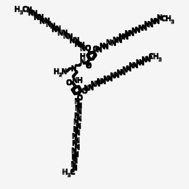 CN=NN=NN=NN=NN=NN=NN=NN=NN=NN=NOc1ccc(C(=O)NCCN(CCN)CCNC(=O)c2ccc(ON=NN=NN=NN=NN=NN=NN=NN=NN=NN=NC)c(ON=NN=NN=NN=NN=NN=NN=NN=NN=NN=NC)c2)cc1ON=NN=NN=NN=NN=NN=NN=NN=NN=NN=NC